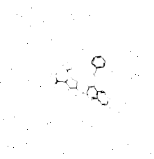 COC(=O)C1CC(Oc2nc3ccncc3c(OCc3ccccc3)c2Br)CN1C(=O)OC(C)(C)C